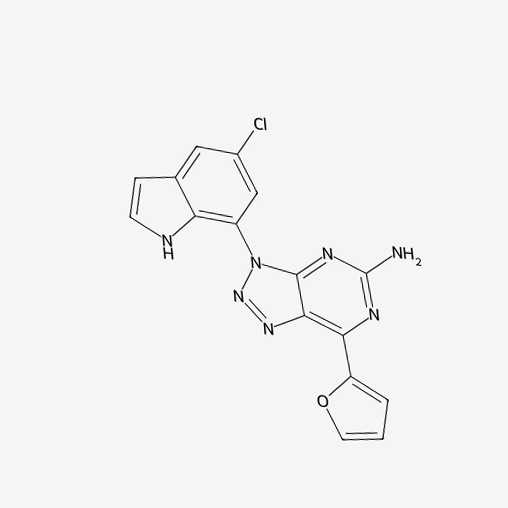 Nc1nc(-c2ccco2)c2nnn(-c3cc(Cl)cc4cc[nH]c34)c2n1